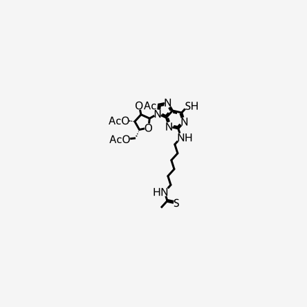 CC(=O)OC[C@H]1OC(n2cnc3c(S)nc(NCCCCCCNC(C)=S)nc32)C(OC(C)=O)[C@H]1OC(C)=O